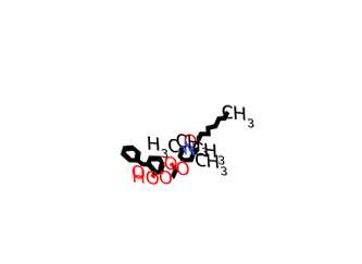 CCCCCCCCON1C(C)(C)CC(OC(C=O)Oc2ccc(C(=O)c3ccccc3)c(O)c2)CC1(C)C